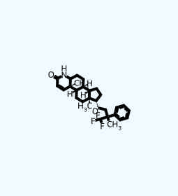 CC(CC(=O)[C@H]1CC[C@H]2[C@@H]3CCC4NC(=O)C=C[C@]4(C)[C@H]3CC[C@]12C)(c1ccccc1)C(F)(F)F